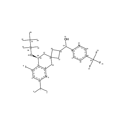 CC(C)c1cc(I)c2c(n1)CC1(CC(C(O)c3ccc(C(F)(F)F)cn3)C1)C[C@@H]2O[Si](C)(C)C(C)(C)C